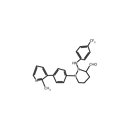 Cc1ncccc1-c1ccc(N2CCCC(C=O)N2Nc2ccc(C(F)(F)F)cc2)cc1